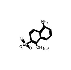 Nc1cccc2c(O)c(S(=O)(=O)[O-])ccc12.[Na+]